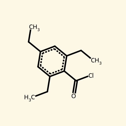 CCc1cc(CC)c(C(=O)Cl)c(CC)c1